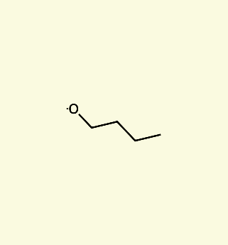 CCCC[O]